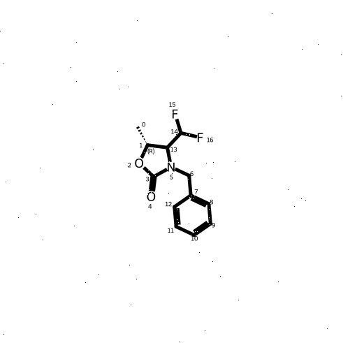 C[C@H]1OC(=O)N(Cc2ccccc2)C1C(F)F